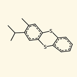 Cc1cc2c(cc1C(C)C)Sc1ccccc1S2